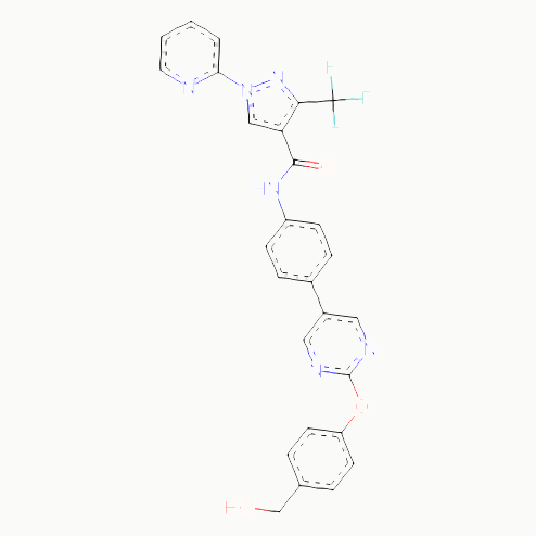 O=C(Nc1ccc(-c2cnc(Oc3ccc(CO)cc3)nc2)cc1)c1cn(-c2ccccn2)nc1C(F)(F)F